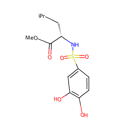 COC(=O)[C@H](CC(C)C)NS(=O)(=O)c1ccc(O)c(O)c1